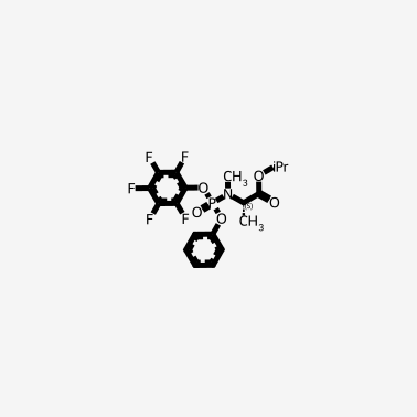 CC(C)OC(=O)[C@H](C)N(C)P(=O)(Oc1ccccc1)Oc1c(F)c(F)c(F)c(F)c1F